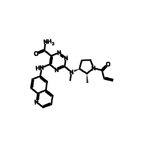 C=CC(=O)N1CC[C@@H](N(C)c2nnc(C(N)=O)c(Nc3ccc4ncccc4c3)n2)[C@H]1C